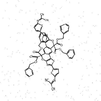 N#CC(C#N)=Nc1ccc(-c2nc3c(s2)-c2cc4c(cc2C(C(=O)OCc2ccccc2)(C(=O)OCc2ccccc2)O3)-c2sc(-c3ccc(N=C(C#N)C#N)s3)nc2OC4(C(=O)OCc2ccccc2)C(=O)OCc2ccccc2)s1